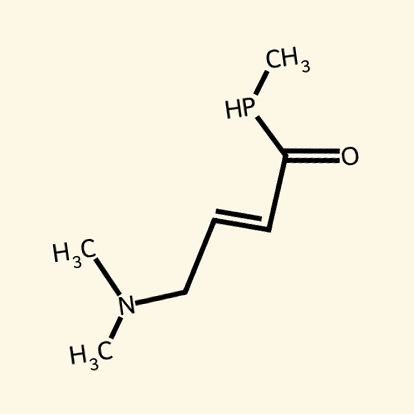 CPC(=O)/C=C/CN(C)C